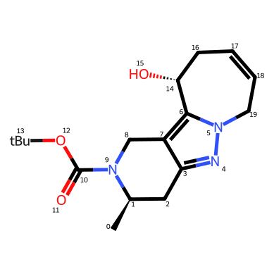 C[C@@H]1Cc2nn3c(c2CN1C(=O)OC(C)(C)C)[C@H](O)CC=CC3